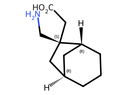 NC[C@]1(CC(=O)O)C[C@@H]2CCC[C@@H]1C2